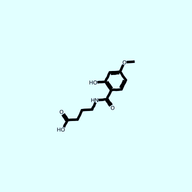 COc1ccc(C(=O)NCCCC(=O)O)c(O)c1